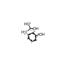 CC(O)O.Oc1ccccc1